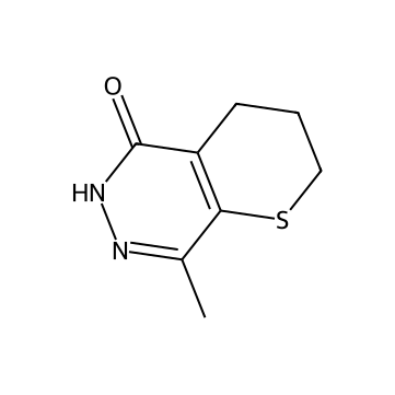 Cc1n[nH]c(=O)c2c1SCCC2